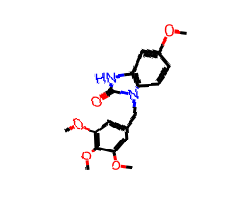 COc1ccc2c(c1)[nH]c(=O)n2Cc1cc(OC)c(OC)c(OC)c1